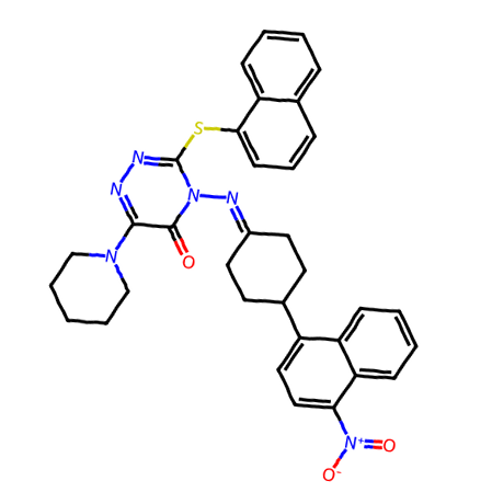 O=c1c(N2CCCCC2)nnc(Sc2cccc3ccccc23)n1N=C1CCC(c2ccc([N+](=O)[O-])c3ccccc23)CC1